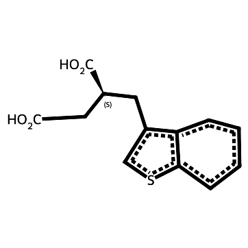 O=C(O)C[C@H](Cc1csc2ccccc12)C(=O)O